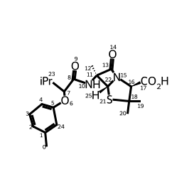 Cc1cccc(OC(C(=O)N[C@@]2(C)C(=O)N3[C@@H](C(=O)O)C(C)(C)S[C@@H]32)C(C)C)c1